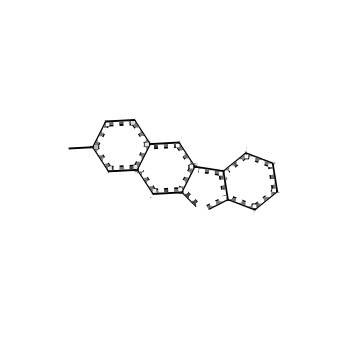 Fc1ccc2cc3c(cc2c1)oc1ccccc13